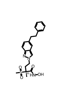 C[C@@](CCn1cc2cc(CCc3ccccc3)ccc2n1)(C(=O)NO)S(C)(=O)=O